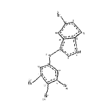 Brc1ccc2[nH]cc(Sc3cc(Br)c(Br)c(Br)c3)c2c1